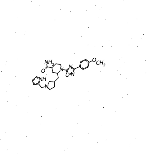 COc1ccc(-c2noc(N3CCC(C(N)=O)CC3CC3CCN(Cc4ccc[nH]4)C3)n2)cc1